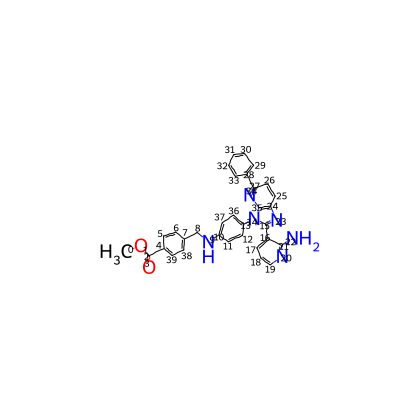 COC(=O)c1ccc(CNc2ccc(-n3c(-c4cccnc4N)nc4ccc(-c5ccccc5)nc43)cc2)cc1